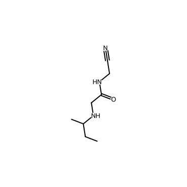 CCC(C)NCC(=O)NCC#N